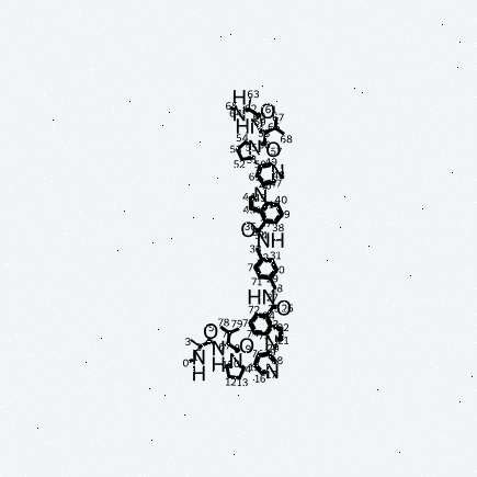 CN[C@@H](C)C(=O)N[C@H](C(=O)N1CCC[C@H]1c1cncc(-n2ccc3c(C(=O)NCc4ccc(CNC(=O)c5cccc6c5ccn6-c5cncc([C@@H]6CCCN6C(=O)[C@@H](NC(=O)[C@H](C)NC)C(C)C)c5)cc4)cccc32)c1)C(C)C